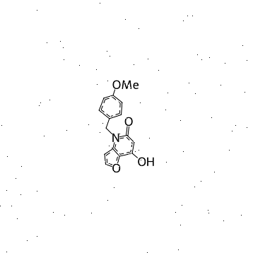 COc1ccc(Cn2c(=O)cc(O)c3occc32)cc1